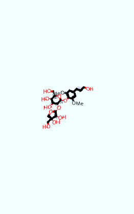 COc1cc(/C=C/CO)cc(OC)c1O[C@@H]1O[C@H](CO)[C@@H](O)[C@H](O)[C@H]1O[C@@H]1OC[C@](O)(CO)[C@H]1O